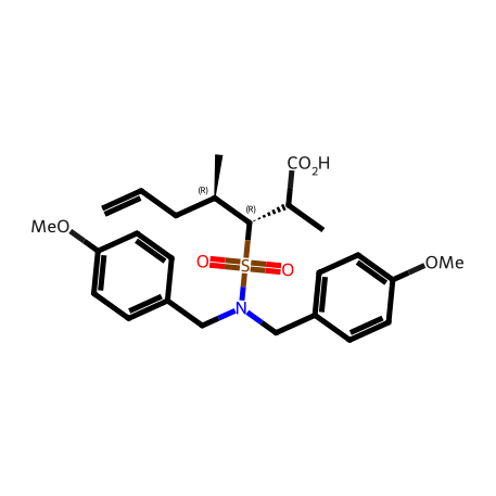 C=CC[C@@H](C)[C@H](C(C)C(=O)O)S(=O)(=O)N(Cc1ccc(OC)cc1)Cc1ccc(OC)cc1